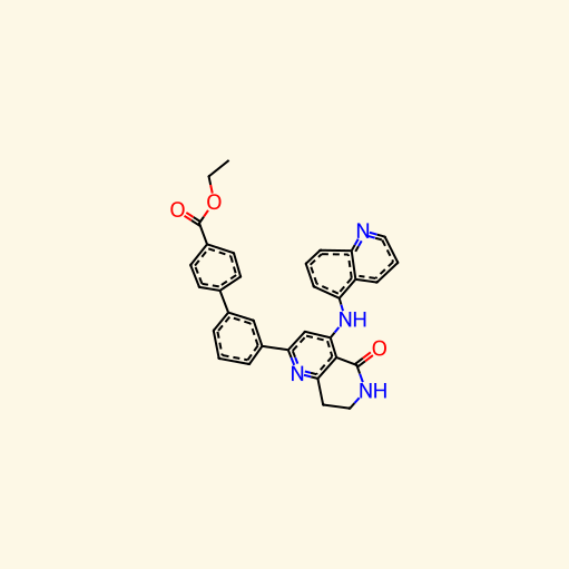 CCOC(=O)c1ccc(-c2cccc(-c3cc(Nc4cccc5ncccc45)c4c(n3)CCNC4=O)c2)cc1